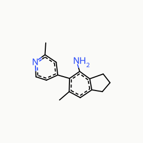 Cc1cc(-c2c(C)cc3c(c2N)CCC3)ccn1